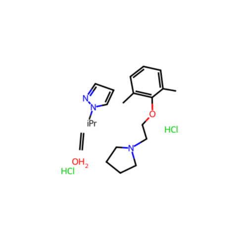 C=C.CC(C)n1cccn1.Cc1cccc(C)c1OCCN1CCCC1.Cl.Cl.O